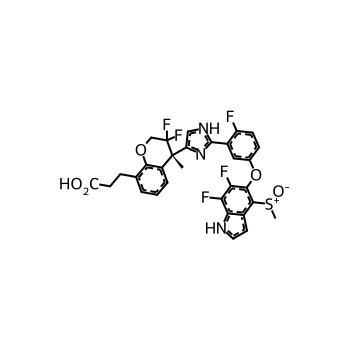 C[S+]([O-])c1c(Oc2ccc(F)c(-c3nc([C@]4(C)c5cccc(CCC(=O)O)c5OCC4(F)F)c[nH]3)c2)c(F)c(F)c2[nH]ccc12